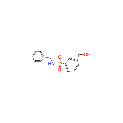 O=S(=O)(NCc1ccccc1)c1cccc(CO)c1